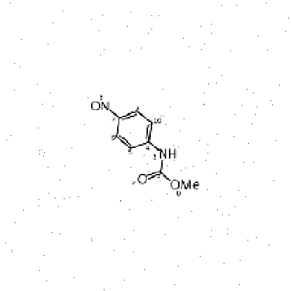 COC(=O)Nc1ccc(N=O)cc1